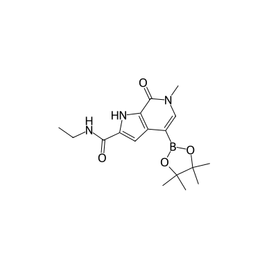 CCNC(=O)c1cc2c(B3OC(C)(C)C(C)(C)O3)cn(C)c(=O)c2[nH]1